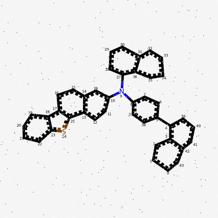 c1ccc2c(-c3ccc(N(c4ccc5c(ccc6c7ccccc7sc56)c4)c4cccc5ccccc45)cc3)cccc2c1